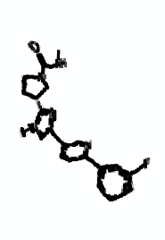 CNC(=O)N1CC[C@@H](c2nc(-c3ccc(-c4cccc(F)c4)nc3)c[nH]2)C1